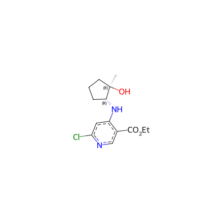 CCOC(=O)c1cnc(Cl)cc1N[C@@H]1CCC[C@@]1(C)O